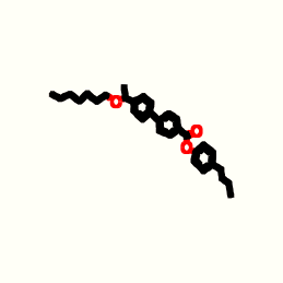 CCCCCCCOC(C)c1ccc(-c2ccc(C(=O)Oc3ccc(CCCC)cc3)cc2)cc1